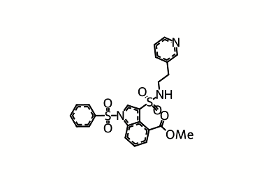 COC(=O)c1cccc2c1c(S(=O)(=O)NCCc1cccnc1)cn2S(=O)(=O)c1ccccc1